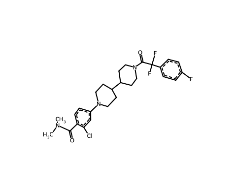 CN(C)C(=O)c1ccc(N2CCC(C3CCN(C(=O)C(F)(F)c4ccc(F)cc4)CC3)CC2)cc1Cl